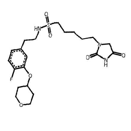 O=C1CN(CCCCCS(=O)(=O)NCCc2ccc(F)c(OC3CCOCC3)c2)C(=O)N1